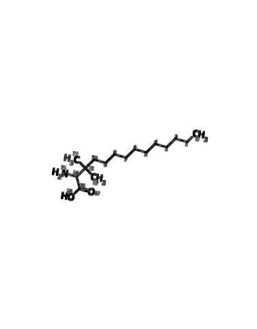 CCCCCCCCCCCC(C)(C)C(N)C(=O)O